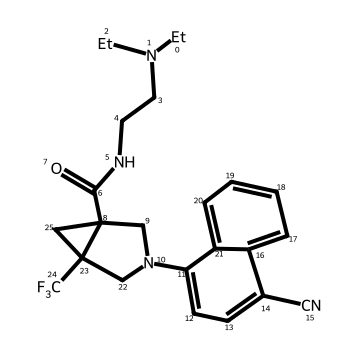 CCN(CC)CCNC(=O)C12CN(c3ccc(C#N)c4ccccc34)CC1(C(F)(F)F)C2